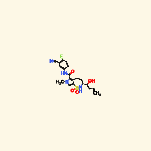 C=CCC(O)C1CCc2c(cn(C)c2C(=O)Nc2ccc(F)c(C#N)c2)S(=O)(=O)N1